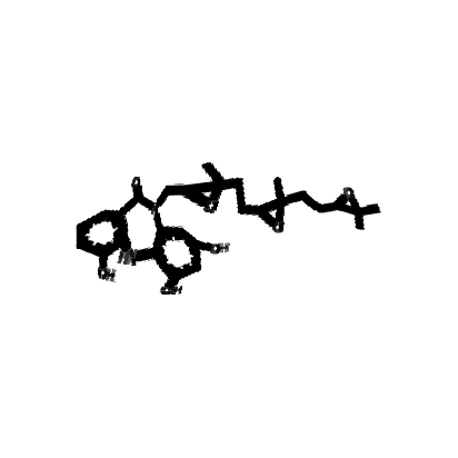 CC1(C)OC1CCC1(C)OC1CCC1(C)OC1CN1C(=O)c2cccc(O)c2Nc2c(O)cc(O)cc21